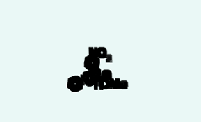 COC(=O)[C@@H]1O[C@@]2(c3ccc([N+](=O)[O-])cc3)CN(c3ccccc3)C[C@H]1O2